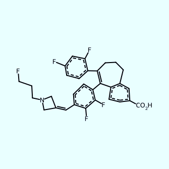 O=C(O)c1ccc2c(c1)CCCC(c1ccc(F)cc1F)=C2c1ccc(C=C2CN(CCCF)C2)c(F)c1F